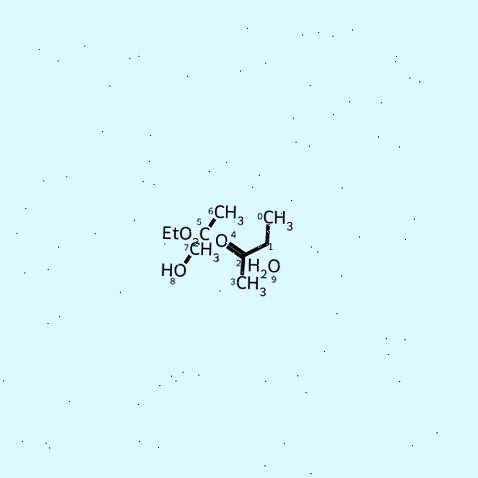 CCC(C)=O.CCOC(C)=O.CO.O